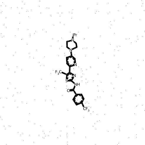 CC(C)N1CCN(c2ccc(-c3nc(NC(=O)c4ccc(C(F)(F)F)cc4)sc3C(F)(F)F)nc2)CC1